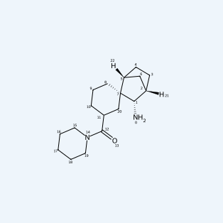 N[C@H]1[C@H]2CC[C@H](C2)[C@@]12CCCC(C(=O)N1CCCCC1)C2